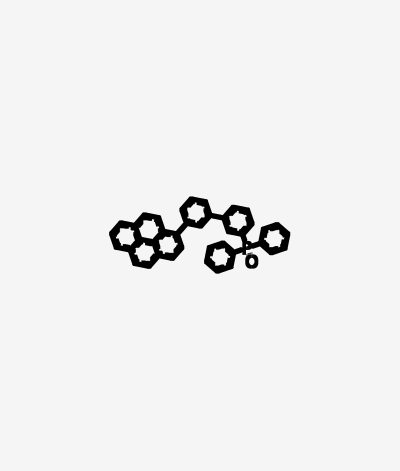 O=P(c1ccccc1)(c1ccccc1)c1cccc(-c2cccc(-c3ccc4ccc5cccc6ccc3c4c56)c2)c1